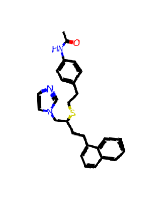 CC(=O)Nc1ccc(CCSC(CCc2cccc3ccccc23)Cn2ccnc2)cc1